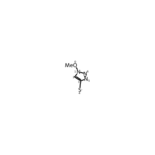 COn1cc([S])nn1